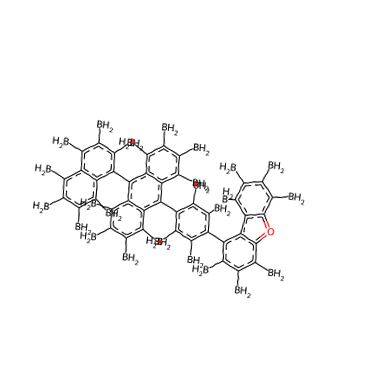 Bc1c(B)c(-c2c(B)c(B)c(B)c3oc4c(B)c(B)c(B)c(B)c4c23)c(B)c(B)c1-c1c2c(B)c(B)c(B)c(B)c2c(-c2c(B)c(B)c(B)c3c(B)c(B)c(B)c(B)c23)c2c(B)c(B)c(B)c(B)c12